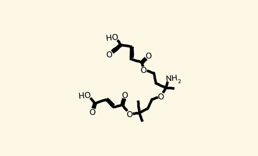 CC(C)(CCOC(C)(N)CCOC(=O)C=CC(=O)O)OC(=O)C=CC(=O)O